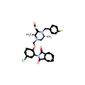 C[C@@H]1CN(COc2ccc(Cl)cc2N2C(=O)c3ccccc3C2=O)[C@@H](C)C(=C=O)N1Cc1ccc(F)cc1